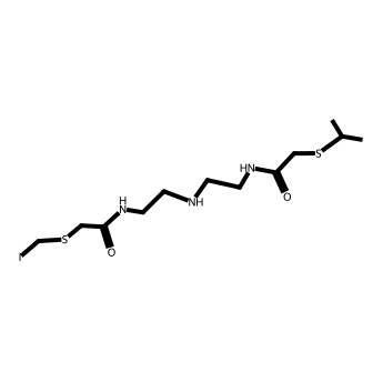 CC(C)SCC(=O)NCCNCCNC(=O)CSCI